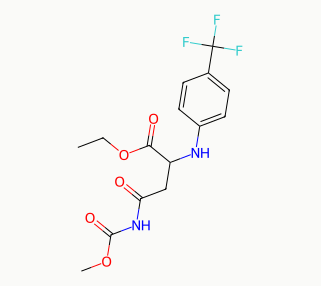 CCOC(=O)C(CC(=O)NC(=O)OC)Nc1ccc(C(F)(F)F)cc1